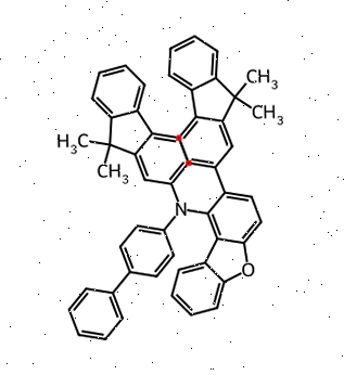 CC1(C)c2ccccc2-c2ccc(-c3ccc4oc5ccccc5c4c3N(c3ccc(-c4ccccc4)cc3)c3ccc4c(c3)C(C)(C)c3ccccc3-4)cc21